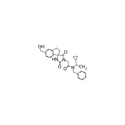 CC(C1CC1)N(Cc1ccccc1)C(=O)CN1C(=O)NC2(CCc3cc(CO)ccc32)C1=O